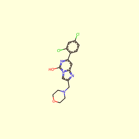 Oc1nc(-c2ccc(Cl)cc2Cl)cc2nc(CN3CCOCC3)cn12